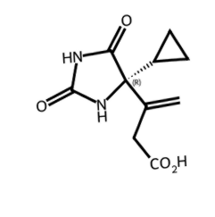 C=C(CC(=O)O)[C@@]1(C2CC2)NC(=O)NC1=O